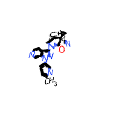 Cc1ccc(-n2nc(N3C[C@@H](C)[C@@](C#N)(C4CC4)C3=O)c3ccncc32)cn1